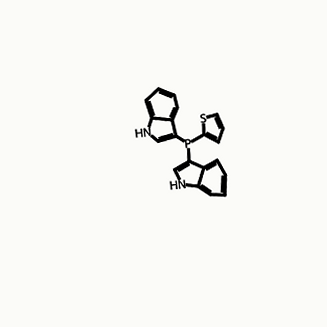 c1csc(P(c2c[nH]c3ccccc23)c2c[nH]c3ccccc23)c1